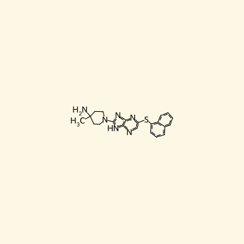 CC1(N)CCN(c2nc3nc(Sc4cccc5ccccc45)cnc3[nH]2)CC1